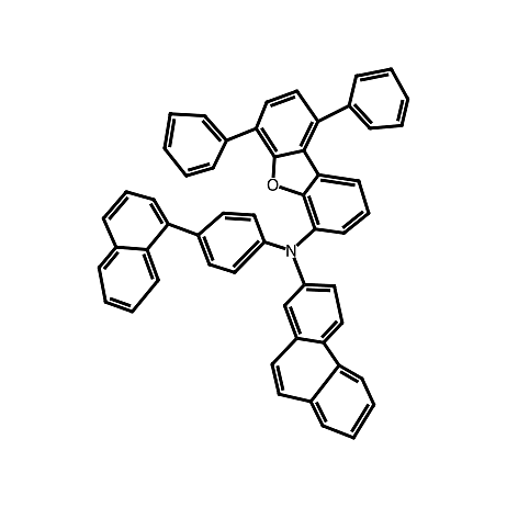 c1ccc(-c2ccc(-c3ccccc3)c3c2oc2c(N(c4ccc(-c5cccc6ccccc56)cc4)c4ccc5c(ccc6ccccc65)c4)cccc23)cc1